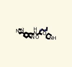 C=C(/C=C\C(=C/C)OC1CCNCC1)C(=O)Nc1cc2cc(-c3cncn3C)ccc2cn1